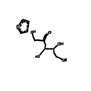 O=C(CO)C(O)C(O)CO.c1ccoc1